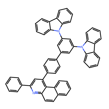 c1ccc(-c2cc(-c3ccc(-c4cc(-n5c6ccccc6c6ccccc65)cc(-n5c6ccccc6c6ccccc65)c4)cc3)c3c(ccc4ccccc43)n2)cc1